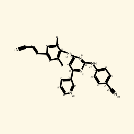 Cc1cc(/C=C/C#N)cc(C)c1Nc1cc(-c2cccnc2)nc(Nc2ccc(C#N)cc2)n1